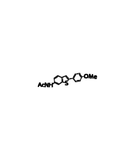 COc1ccc(-c2cc3ccc(NC(C)=O)cc3s2)cc1